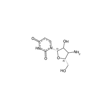 NC1C(O)[C@@H](n2ccc(=O)[nH]c2=O)O[C@H]1CO